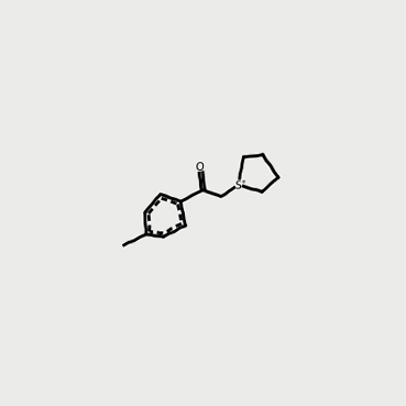 Cc1ccc(C(=O)C[S+]2CCCC2)cc1